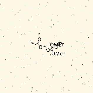 C=CC(=O)OCO[Si](CC(C)C)(OC)OC